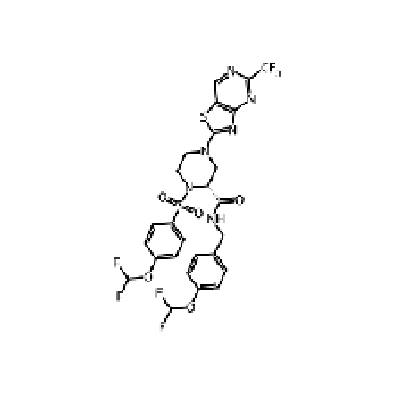 O=C(NCc1ccc(OC(F)F)cc1)[C@H]1CN(c2nc3nc(C(F)(F)F)ncc3s2)CCN1S(=O)(=O)c1ccc(OC(F)F)cc1